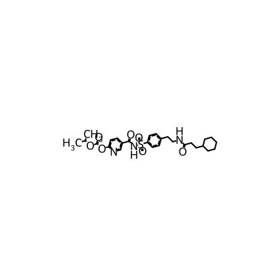 CC(C)OC(=O)Oc1ccc(C(=O)NS(=O)(=O)c2ccc(CCNC(=O)CCC3CCCCC3)cc2)cn1